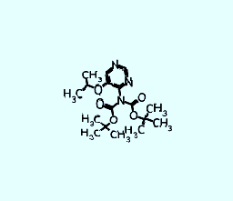 CC(C)Oc1cncnc1N(C(=O)OC(C)(C)C)C(=O)OC(C)(C)C